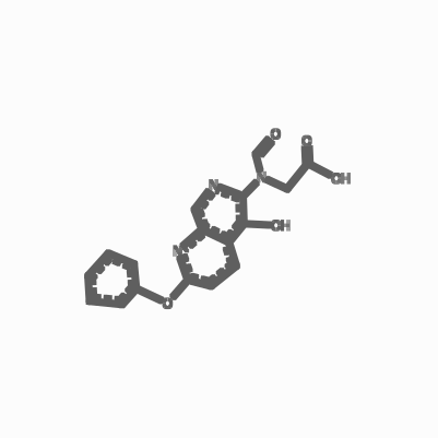 O=CN(CC(=O)O)c1ncc2nc(Oc3ccccc3)ccc2c1O